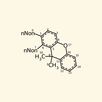 CCCCCCCCCc1ccc2c(c1CCCCCCCCC)C(C)(C)c1ccccc1O2